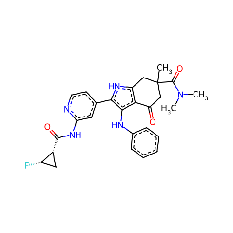 CN(C)C(=O)C1(C)CC(=O)c2c([nH]c(-c3ccnc(NC(=O)[C@@H]4C[C@@H]4F)c3)c2Nc2ccccc2)C1